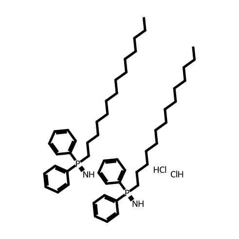 CCCCCCCCCCCCCCP(=N)(c1ccccc1)c1ccccc1.CCCCCCCCCCCCCCP(=N)(c1ccccc1)c1ccccc1.Cl.Cl